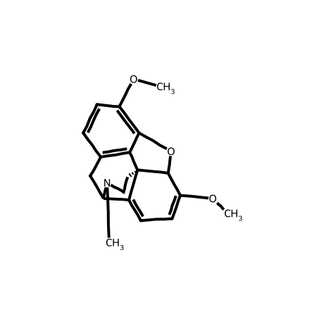 COC1=CC=C2C3Cc4ccc(OC)c5c4[C@@]2(CCN3C)C1O5